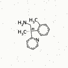 Cc1ccccc1[C@](C)(CN)c1ccccn1